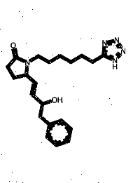 O=C1CCC(/C=C/C(O)Cc2ccccc2)N1CCCCCCc1nnn[nH]1